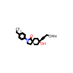 COCC#C[C@]1(O)CC[C@]2(CCN(c3ccc(CC(F)(F)F)cc3)C2=O)CC1